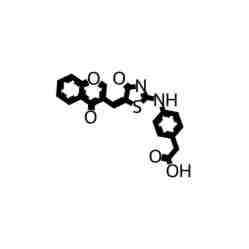 O=C(O)Cc1ccc(NC2=NC(=O)/C(=C\c3coc4ccccc4c3=O)S2)cc1